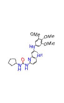 COc1cc(NC2=Cc3nc(NC(=O)NC4CCCC4)ccc3NC2)cc(OC)c1OC